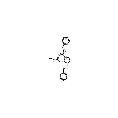 CCOC(=O)C[C@H]1[C@H](OCc2ccccc2)CCN1C(=O)OCc1ccccc1